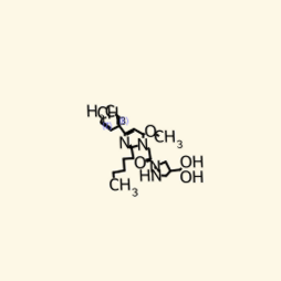 C/C=C\C(=C/C)C1=CC(OC)N(CC(=O)N2CC(C(O)O)CN2)C(CCCCC)=N1